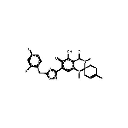 CC1=CCC2(CC1)N(C)C(=O)c1c(O)c(=O)c(-c3nnc(Cc4ccc(F)cc4F)s3)cn1N2C